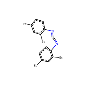 CCc1ccc(N=C=Nc2ccc(CC)cc2CC)c(CC)c1